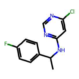 CC(Nc1cc(Cl)ncn1)c1ccc(F)cc1